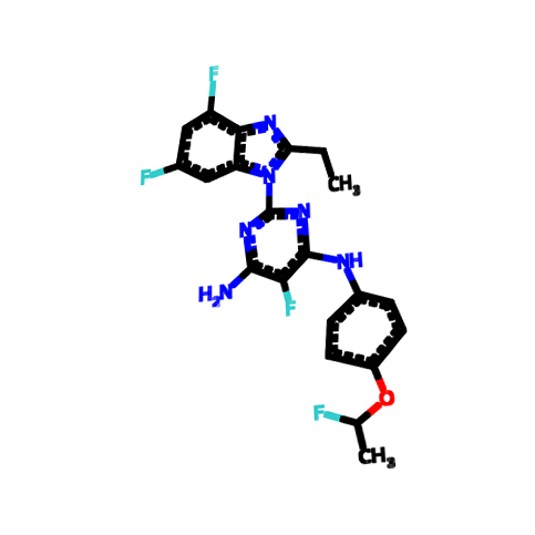 CCc1nc2c(F)cc(F)cc2n1-c1nc(N)c(F)c(Nc2ccc(OC(C)F)cc2)n1